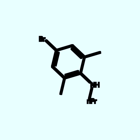 CCCNc1c(C)cc(Br)cc1C